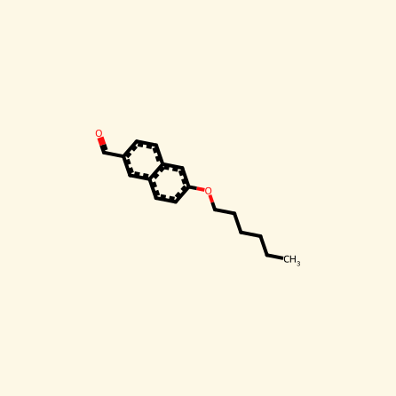 CCCCCCOc1ccc2cc(C=O)ccc2c1